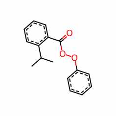 CC(C)c1ccccc1C(=O)OOc1ccccc1